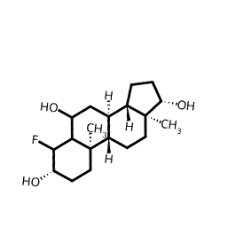 C[C@]12CC[C@H]3[C@@H](CC(O)C4C(F)[C@@H](O)CC[C@@]43C)[C@@H]1CC[C@@H]2O